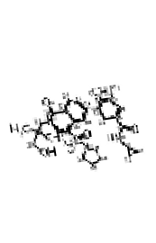 Cc1c(F)cc(C(=O)NC2CC2)cc1-c1ccc2c(=O)n(CC(C)(C)CO)cc(S(=O)(=O)N3CCCC3)c2c1